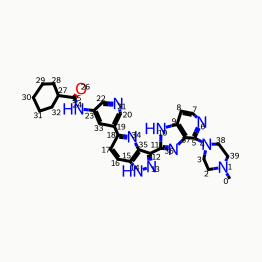 CN1CCN(c2nccc3[nH]c(-c4n[nH]c5ccc(-c6cncc(NC(=O)C7CCCCC7)c6)nc45)nc23)CC1